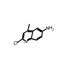 Cc1cc(Cl)nc2ccc(N)cc12